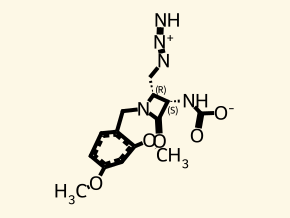 COc1ccc(CN2C(=O)[C@@H](NC(=O)[O-])[C@H]2CN=[N+]=N)c(OC)c1